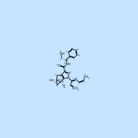 C=C/C(=N\C=C/C)n1nc(C(=O)N[C@H](CO)c2ccccc2)c2c1[C@H]1C[C@H]1C2